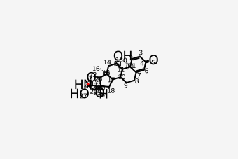 C[C@]12C=CC(=O)C=C1CCC1C2[C@@H](O)C[C@@]2(C)C1C[C@H]1CNO[C@]12C(=O)CO